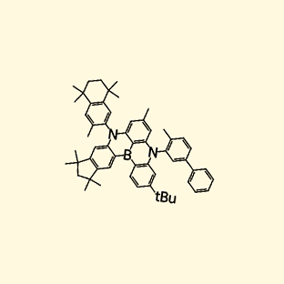 Cc1cc2c3c(c1)N(c1cc4c(cc1C)C(C)(C)CCC4(C)C)c1cc4c(cc1B3c1ccc(C(C)(C)C)cc1N2c1cc(-c2ccccc2)ccc1C)C(C)(C)CC4(C)C